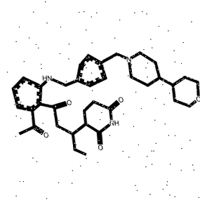 CCC(CC(=O)c1c(NCc2ccc(CN3CCC(C4CCOCC4)CC3)cc2)cccc1C(C)=O)C1CCC(=O)NC1=O